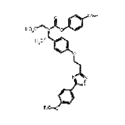 COc1ccc(OC(=O)N(CC(=O)O)[C@@H](C)c2ccc(OCCc3noc(-c4ccc(OC(F)(F)F)cc4)n3)cc2)cc1